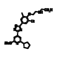 CCc1cc(-c2nc(-c3cc(OC)nc(C4CCCC4)c3)no2)cc(C)c1OCCNCC(=O)O